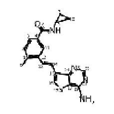 Cc1ccc(C(=O)NC2CC2)cc1C=Cc1csc2c(N)ncnc12